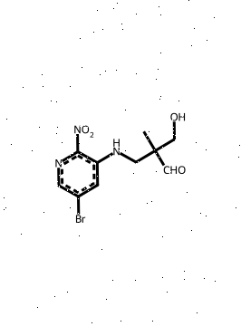 CC(C=O)(CO)CNc1cc(Br)cnc1[N+](=O)[O-]